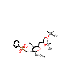 C[C@@H]1[C@@H](CS(=O)(=O)c2ccccc2)[C@H](CC=O)O[C@@H]1CC(CO[Si](C)(C)C(C)(C)C)O[Si](C)(C)C(C)(C)C